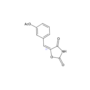 CC(=O)Oc1cccc(/C=C2/OC(=O)NC2=O)c1